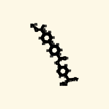 CCCCC(CCC)c1ccc(OC(=O)c2ccc(-c3ccc(C(C)OCC)cc3)cc2)cc1